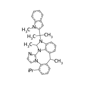 CC(C)c1cccc2c1-n1ccnc1N1c3c(cccc3N(C(C)(C)c3cc4ccccc4n3C)C1C)C2C